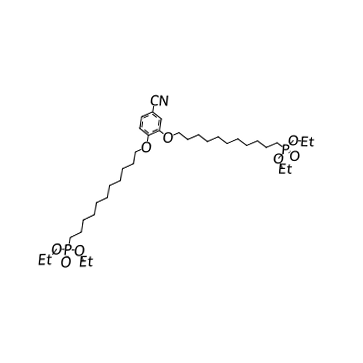 CCOP(=O)(CCCCCCCCCCCOc1ccc(C#N)cc1OCCCCCCCCCCCP(=O)(OCC)OCC)OCC